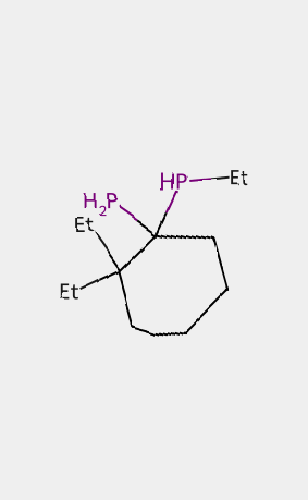 CCPC1(P)CCCCC1(CC)CC